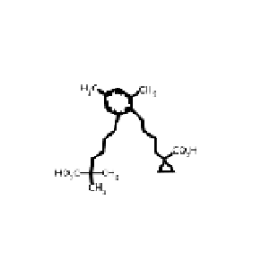 Cc1cc(C)c(CCCCC2(C(=O)O)CC2)c(CCCCC(C)(C)C(=O)O)c1